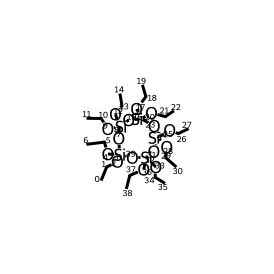 CCO[Si]1(OCC)O[Si](OCC)(OCC)O[Si](OCC)(OCC)O[Si](OCC)(OCC)O[Si](OCC)(OCC)O1